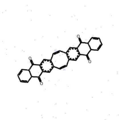 O=C1c2cc3c(cc2C(=O)C2C=CC=CC12)/C=C\c1cc2c(cc1/C=C\3)C(=O)C1C=CC=CC1C2=O